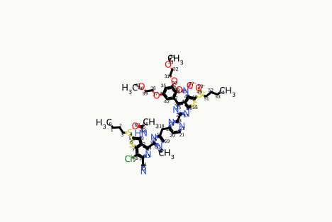 CCCCSc1sc2c(Cl)c(C#N)nc(-c3nc(Cc4ccnc(-c5nc(-c6cc(OCCOC)cc(OCCOC)c6)c6c([N+](=O)[O-])c([S+]([O-])CCCC)sc6n5)n4)cn3C)c2c1NC(C)=O